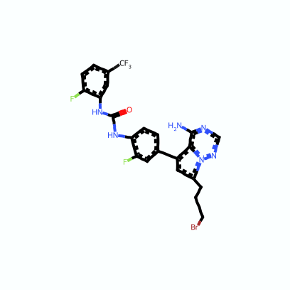 Nc1ncnn2c(CCCBr)cc(-c3ccc(NC(=O)Nc4cc(C(F)(F)F)ccc4F)c(F)c3)c12